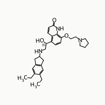 CCc1cc2c(cc1CC)CC(NC[C@@H](O)c1ccc(OCCN3CCCC3)c3[nH]c(=O)ccc13)C2